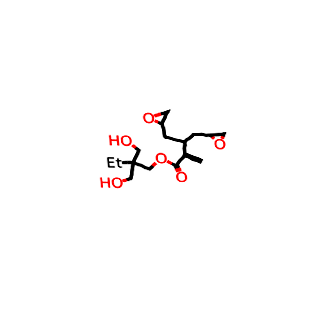 C=C(C(=O)OCC(CC)(CO)CO)C(CC1CO1)CC1CO1